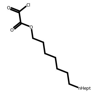 CCCCCCCCCCCCCCOC(=O)C(=O)Cl